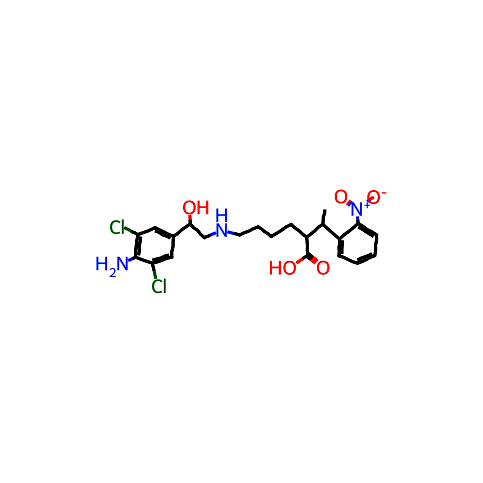 CC(c1ccccc1[N+](=O)[O-])C(CCCCNCC(O)c1cc(Cl)c(N)c(Cl)c1)C(=O)O